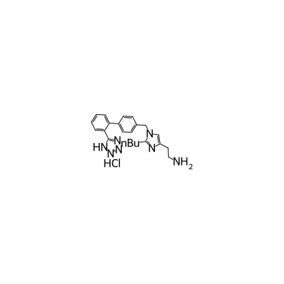 CCCCc1nc(CCN)cn1Cc1ccc(-c2ccccc2-c2nnn[nH]2)cc1.Cl